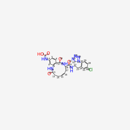 O=C(O)Nc1ccc2c(c1)NC(=O)CC/C=C\CC(C(=O)NCCc1cc(Cl)ccc1-n1cnnn1)NC2=O